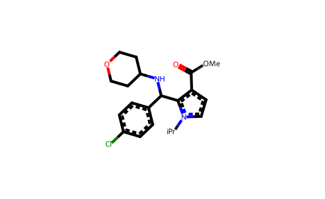 COC(=O)c1ccn(C(C)C)c1C(NC1CCOCC1)c1ccc(Cl)cc1